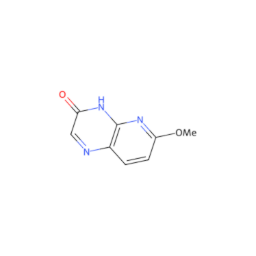 COc1ccc2ncc(=O)[nH]c2n1